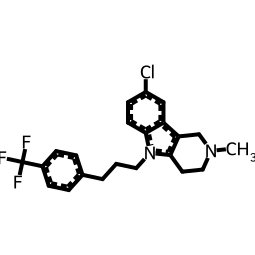 CN1CCc2c(c3cc(Cl)ccc3n2CCCc2ccc(C(F)(F)F)cc2)C1